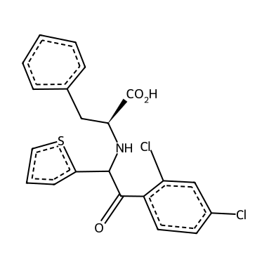 O=C(c1ccc(Cl)cc1Cl)C(N[C@@H](Cc1ccccc1)C(=O)O)c1cccs1